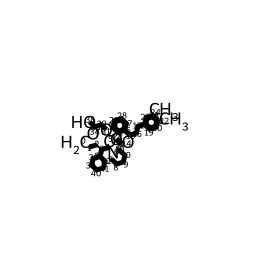 C=CC[C@@H](C(=O)N1CCCC[C@H]1C(=O)OC(CCc1ccc(C)c(C)c1)c1cccc(OCC(=O)O)c1)C1CCCCC1